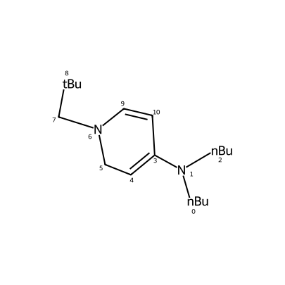 CCCCN(CCCC)C1=CCN(CC(C)(C)C)C=C1